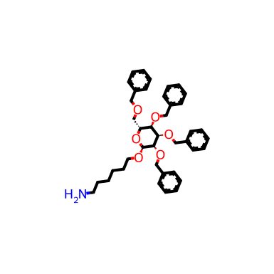 NCCCCCCO[C@H]1O[C@H](COCc2ccccc2)[C@@H](OCc2ccccc2)[C@H](OCc2ccccc2)[C@@H]1OCc1ccccc1